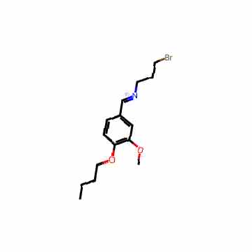 CCCCOc1ccc(/C=N/CCCBr)cc1OC